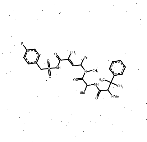 CNC(C(=O)NC(C(=O)N(C)C(C=C(C)C(=O)NS(=O)(=O)Cc1ccc(F)cc1)C(C)C)C(C)(C)C)C(C)(C)c1ccccc1